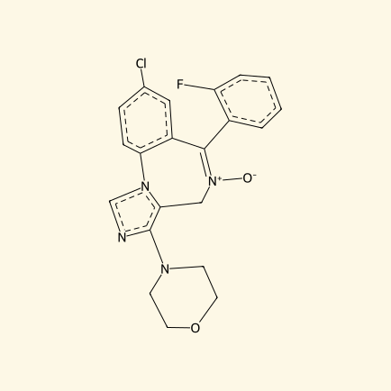 [O-][N+]1=C(c2ccccc2F)c2cc(Cl)ccc2-n2cnc(N3CCOCC3)c2C1